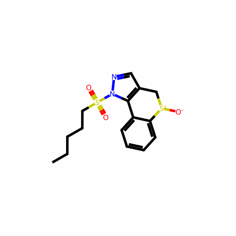 CCCCCS(=O)(=O)n1ncc2c1-c1ccccc1[S+]([O-])C2